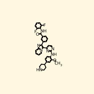 COc1cc(C2CCNCC2)ccc1Nc1nccc(-c2c(-c3cccc(C(=O)Nc4c(F)cccc4F)c3)nc3ccccn23)n1